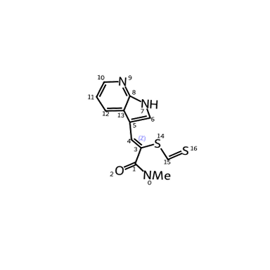 CNC(=O)/C(=C/c1c[nH]c2ncccc12)SC=S